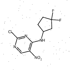 O=[N+]([O-])c1cnc(Cl)nc1NC1CCC(F)(F)C1